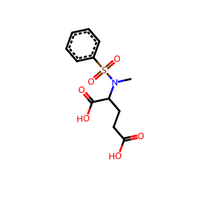 CN(C(CCC(=O)O)C(=O)O)S(=O)(=O)c1ccccc1